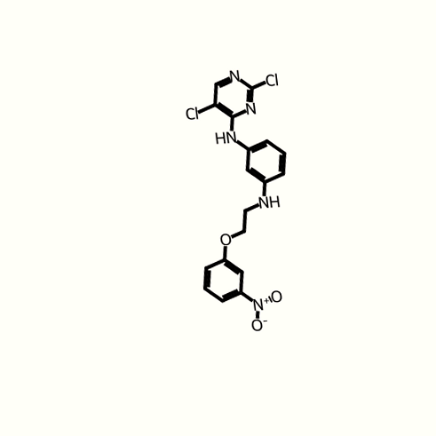 O=[N+]([O-])c1cccc(OCCNc2cccc(Nc3nc(Cl)ncc3Cl)c2)c1